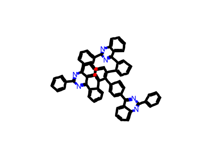 c1ccc(-c2nc(-c3ccc(-c4c(-c5ccccc5-c5nc(-c6ccccc6)nc6ccccc56)cccc4-c4ccccc4-c4nc(-c5ccccc5)nc5ccccc45)cc3)c3ccccc3n2)cc1